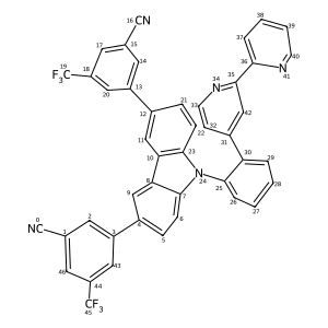 N#Cc1cc(-c2ccc3c(c2)c2cc(-c4cc(C#N)cc(C(F)(F)F)c4)ccc2n3-c2ccccc2-c2ccnc(-c3ccccn3)c2)cc(C(F)(F)F)c1